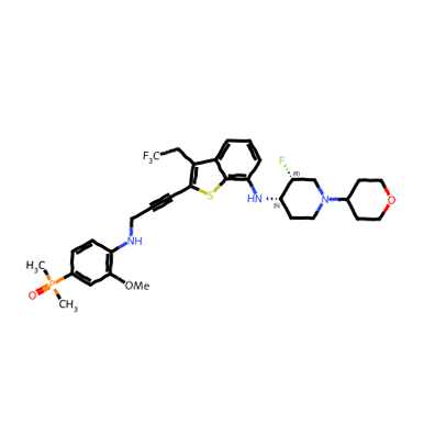 COc1cc(P(C)(C)=O)ccc1NCC#Cc1sc2c(N[C@H]3CCN(C4CCOCC4)C[C@H]3F)cccc2c1CC(F)(F)F